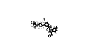 COc1ccc(S(=O)(=O)n2cc(C=O)c3ccc(F)cc32)cc1C1CCN(C(=O)C(Cl)(Cl)Cl)CC1